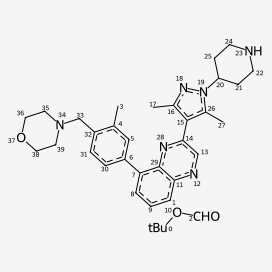 CC(C)(C)OC=O.Cc1cc(-c2cccc3ncc(-c4c(C)nn(C5CCNCC5)c4C)nc23)ccc1CN1CCOCC1